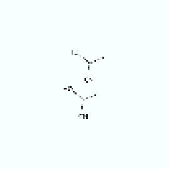 CC(O)C#N.CC(O)C#N